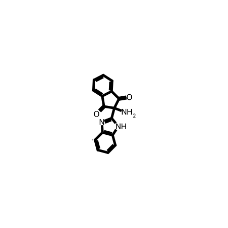 NC1(c2nc3[c]cccc3[nH]2)C(=O)c2ccccc2C1=O